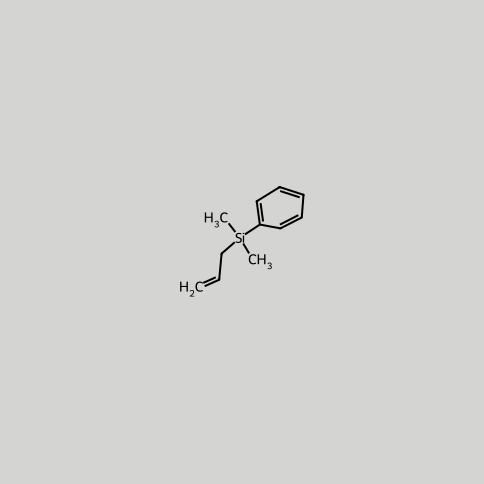 C=CC[Si](C)(C)c1ccccc1